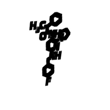 C[C@H](C(=O)Nc1ccc(NCc2ccc(F)cc2)nc1N1CCCC1)c1ccccc1